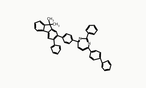 CC1(C)c2ccccc2-c2cc(-c3ccccc3)c(-c3ccc(C4=NC(c5ccccc5)=NC(c5ccc(-c6ccccc6)cc5)=C=C4)cc3)cc21